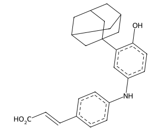 O=C(O)C=Cc1ccc(Nc2ccc(O)c(C34CC5CC(CC(C5)C3)C4)c2)cc1